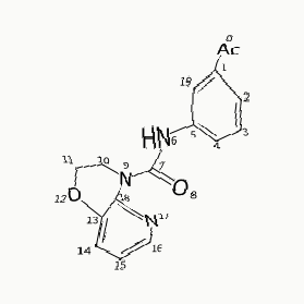 CC(=O)c1cccc(NC(=O)N2CCOc3cccnc32)c1